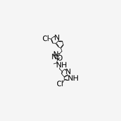 CC(NCc1cnc2[nH]cc(Cl)c2c1)c1nnc(Cc2ccc3ncc(Cl)cc3c2)o1